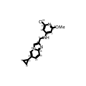 COc1cc(NCc2cn3cc(C4CC4)ccc3n2)cc(Cl)n1